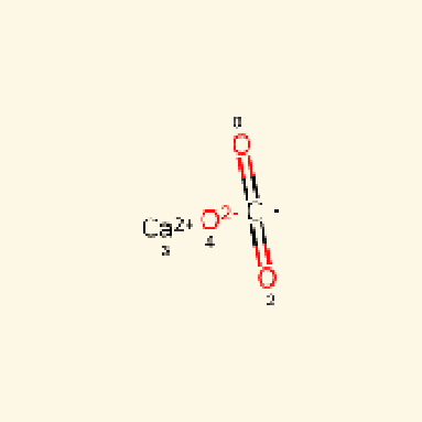 O=C=O.[Ca+2].[O-2]